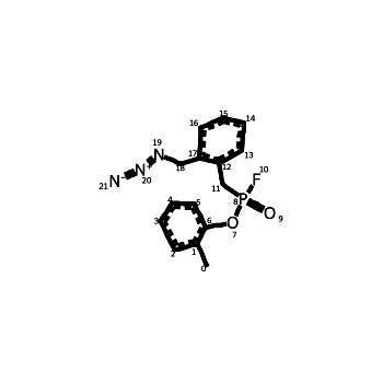 Cc1ccccc1OP(=O)(F)Cc1ccccc1CN=[N+]=[N-]